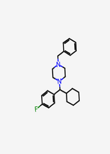 Fc1ccc(C(C2CCCCC2)N2CCN(Cc3ccccc3)CC2)cc1